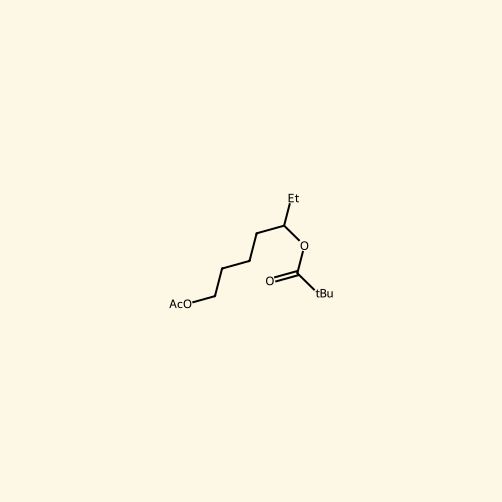 CCC(CCCCOC(C)=O)OC(=O)C(C)(C)C